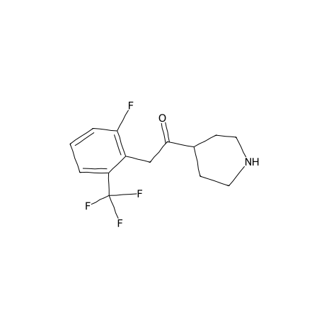 O=C(Cc1c(F)cccc1C(F)(F)F)C1CCNCC1